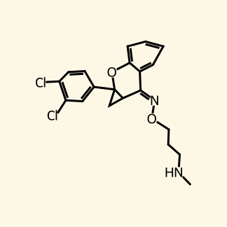 CNCCCON=C1c2ccccc2OC2(c3ccc(Cl)c(Cl)c3)CC12